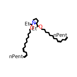 CCCCC/C=C\C/C=C\CCCCCCCCOC(CC)C1CCCN1C(CC)OCCCCCCCC/C=C\C/C=C\CCCCC